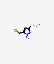 CCOC(=O)c1cc(CCl)n(CC)n1